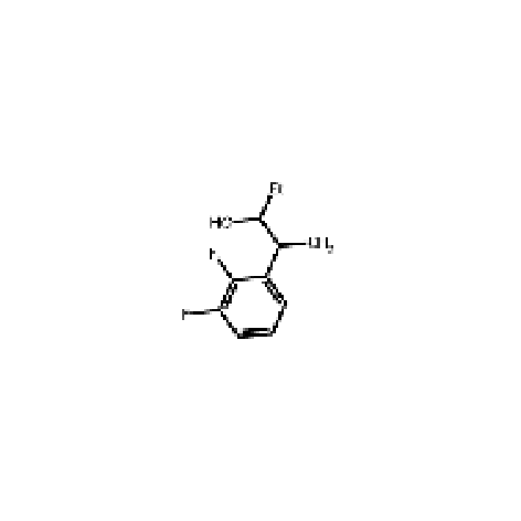 [CH2]C(c1cccc(F)c1F)C(O)CC